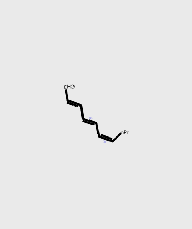 CCC/C=C\C=C\C=CC=O